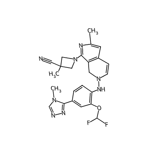 Cc1cc2c(c(N3CC(C)(C#N)C3)n1)CN(Nc1ccc(-c3nncn3C)cc1OC(F)F)C=C2